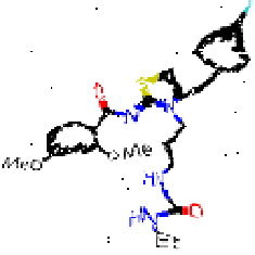 CCNC(=O)NCCCn1c(Cc2ccc(F)cc2)cs/c1=N\C(=O)c1ccc(OC)cc1OC